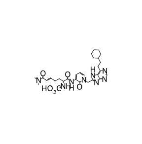 CN(C)C(=O)C=CCCC(NC(=O)O)C(=O)Nc1cccn(Cc2nc3ncnc(CCC4CCCCC4)c3[nH]2)c1=O